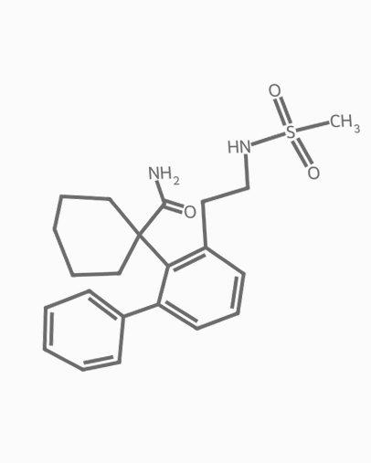 CS(=O)(=O)NCCc1cccc(-c2ccccc2)c1C1(C(N)=O)CCCCC1